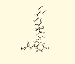 CCC(CC)Oc1ccc(S(=O)(=O)N2CCC(c3cn(CC(=O)O)c4ccc(Cl)cc34)C2)cc1